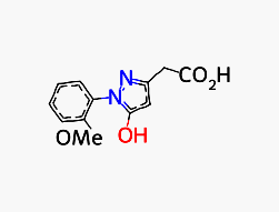 COc1ccccc1-n1nc(CC(=O)O)cc1O